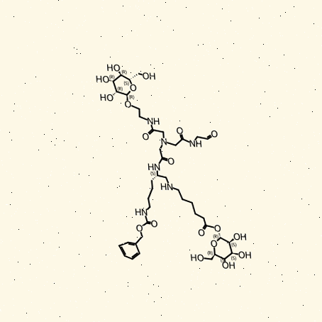 O=CCNC(=O)CN(CC(=O)NCCO[C@@H]1O[C@@H](CO)[C@H](O)[C@@H](O)[C@H]1O)CC(=O)N[C@@H](CCCCNC(=O)OCc1ccccc1)CNCCCCCC(=O)O[C@H]1O[C@H](CO)[C@@H](O)[C@H](O)[C@@H]1O